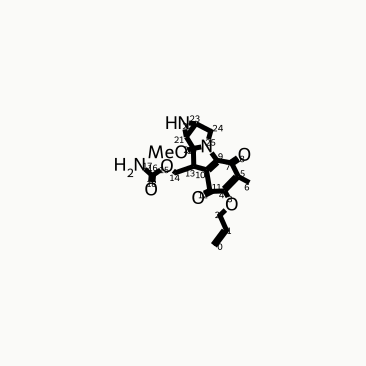 C=CCOC1=C(C)C(=O)C2=C(C1=O)C(COC(N)=O)C1(OC)C3NC3CN21